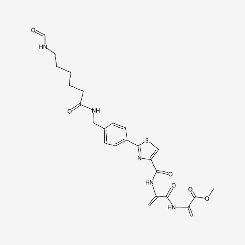 C=C(NC(=O)c1csc(-c2ccc(CNC(=O)CCCCCNC=O)cc2)n1)C(=O)NC(=C)C(=O)OC